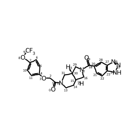 O=C(COc1ccc(OC(F)(F)F)cc1)N1CC[C@@H]2CN(C(=O)c3ccc4[nH]nnc4c3)C[C@H]2C1